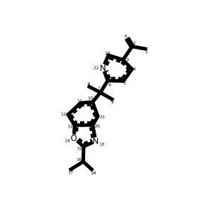 C=C(C)c1ccc(C(C)(C)c2ccc3oc(C(C)C)nc3c2)nc1